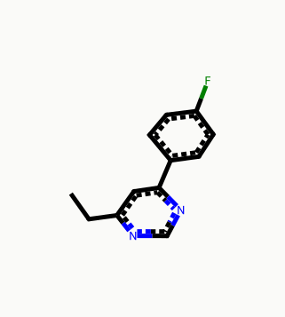 CCc1cc(-c2ccc(F)cc2)ncn1